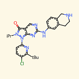 CC(C)n1c(=O)c2cnc(Nc3ccc4c(c3)CCNC4)nc2n1-c1ccc(Cl)c(C(C)(C)C)n1